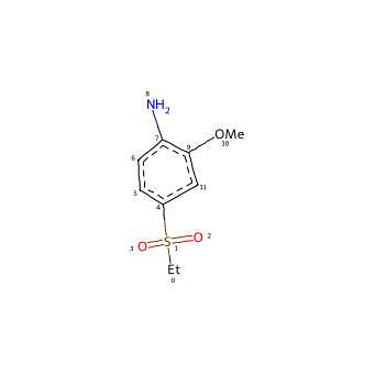 [CH2]CS(=O)(=O)c1ccc(N)c(OC)c1